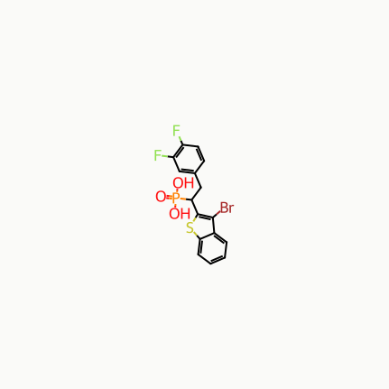 O=P(O)(O)C(Cc1ccc(F)c(F)c1)c1sc2ccccc2c1Br